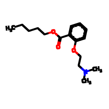 CCCCCOC(=O)c1ccccc1OCCN(C)C